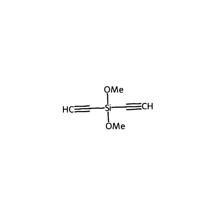 C#C[Si](C#C)(OC)OC